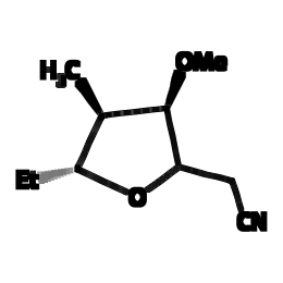 CC[C@H]1OC(CC#N)[C@H](OC)[C@@H]1C